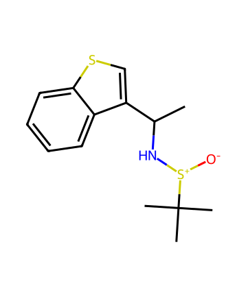 CC(N[S+]([O-])C(C)(C)C)c1csc2ccccc12